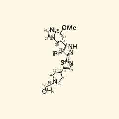 COc1cc(-c2[nH]nc(-c3ncc(C4CCN(C5COC5)CC4)s3)c2C(C)C)cn2ccnc12